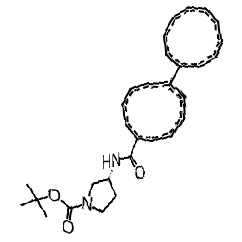 CC(C)(C)OC(=O)N1CC[C@@H](NC(=O)c2ccccc(-c3ccccccccc3)cccc2)C1